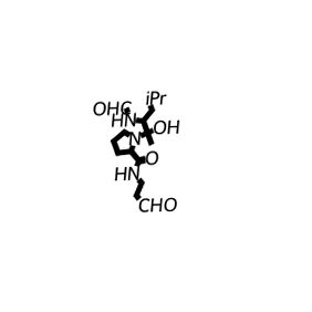 CC(C)CC(NC=O)C(C)(O)N1CCCC1C(=O)NCCC=O